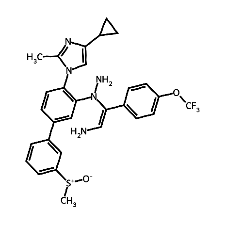 Cc1nc(C2CC2)cn1-c1ccc(-c2cccc([S+](C)[O-])c2)cc1N(N)/C(=C\N)c1ccc(OC(F)(F)F)cc1